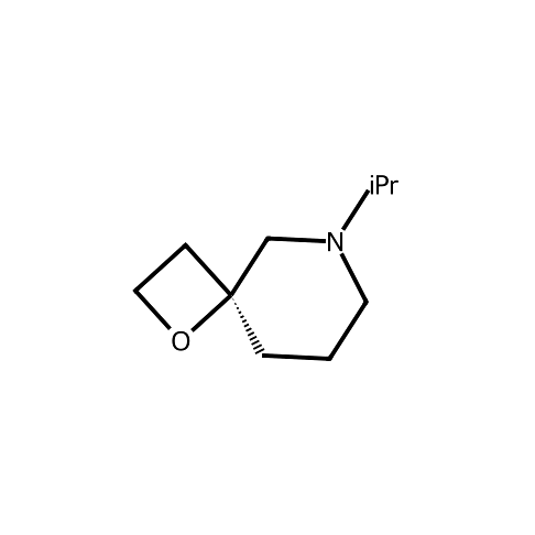 CC(C)N1CCC[C@]2(CCO2)C1